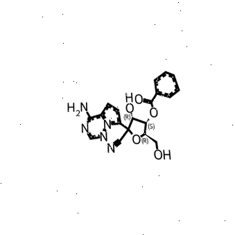 N#CC1(c2ccc3c(N)ncnn23)O[C@H](CO)[C@@H](OC(=O)c2ccccc2)[C@H]1O